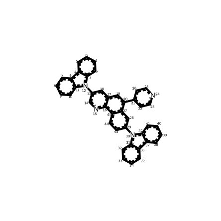 c1ccc2c(c1)c1ccccc1n2-c1cnc2c(c1)cc(-c1ccncc1)c1cc(-n3c4ccccc4c4ccccc43)ccc12